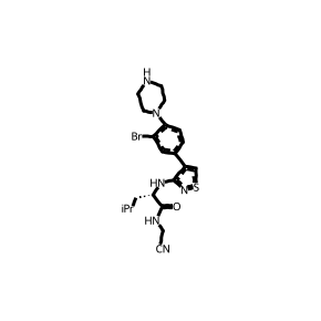 CC(C)C[C@H](Nc1nscc1-c1ccc(N2CCNCC2)c(Br)c1)C(=O)NCC#N